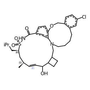 CC(C)C[C@@H]1C[C@H](C)/C=C/C(O)C2CCC2CN2CCCCc3cc(Cl)ccc3COc3ccc(cc32)C(=O)NS1(=O)=O